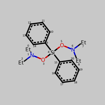 CCN(CC)O[Si](ON(CC)CC)(c1ccccc1)c1ccccc1